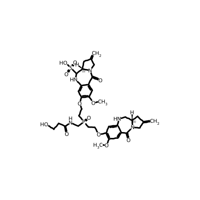 C=C1C[C@H]2CNc3cc(OCCP(=O)(CCOc4cc5c(cc4OC)C(=O)N4CC(=C)C[C@H]4C(S(=O)(=O)O)N5)CNC(=O)CCO)c(OC)cc3C(=O)N2C1